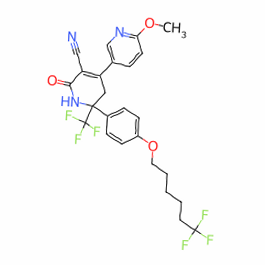 COc1ccc(C2=C(C#N)C(=O)NC(c3ccc(OCCCCCC(F)(F)F)cc3)(C(F)(F)F)C2)cn1